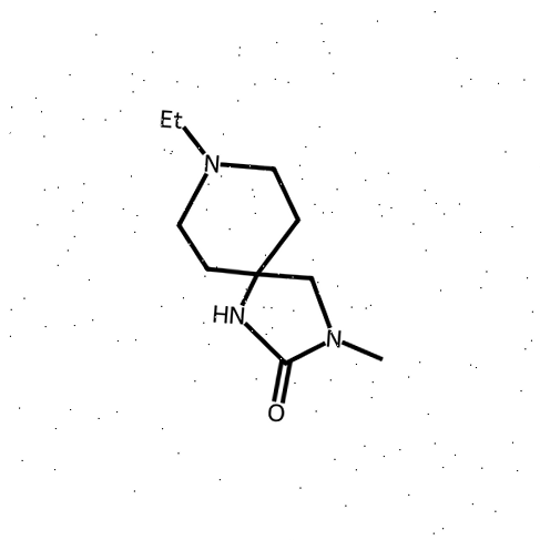 CCN1CCC2(CC1)CN(C)C(=O)N2